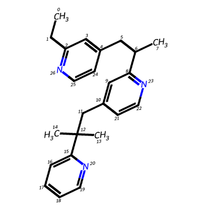 CCc1cc(CC(C)c2cc(CC(C)(C)c3ccccn3)ccn2)ccn1